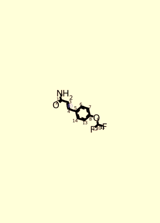 NC(=O)/C=C/c1ccc(OC(F)F)cc1